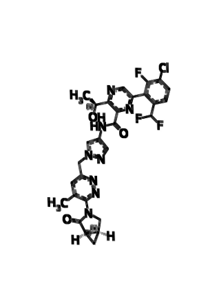 Cc1cc(Cn2cc(NC(=O)c3nc(-c4c(C(F)F)ccc(Cl)c4F)cnc3[C@H](C)O)cn2)nnc1N1C[C@H]2C[C@H]2C1=O